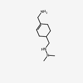 CN(C)NCC1CC=C(CN)CC1